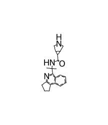 CC(C)(NC(=O)C1C2CNCC21)c1nc2c(c3ccccc13)CCC2